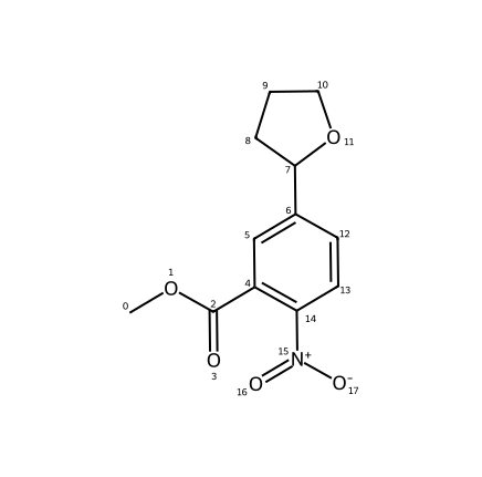 COC(=O)c1cc(C2CCCO2)ccc1[N+](=O)[O-]